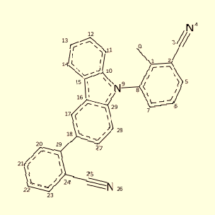 Cc1c(C#N)cccc1-n1c2ccccc2c2cc(-c3ccccc3C#N)ccc21